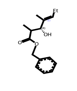 CC/C=C(\C)[C@H](O)C(C)C(=O)OCc1ccccc1